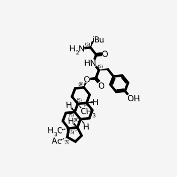 CCC(C)[C@H](N)C(=O)N[C@@H](Cc1ccc(O)cc1)C(=O)O[C@@H]1CC[C@@]2(C)[C@@H](CC[C@@H]3[C@@H]2CC[C@]2(C)[C@@H](C(C)=O)CC[C@@H]32)C1